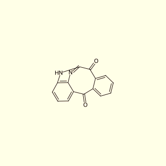 O=c1c2nc3c(cccc3c(=O)c3ccccc13)[nH]2